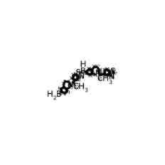 Bc1ccc2c(c1)CCCN([C@H](C)c1ccc3sc(Bc4ccc5c(c4)CCCN([C@@H](C)c4ccc6scnc6c4)C5)nc3c1)C2